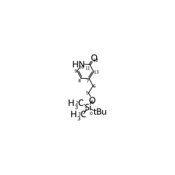 CC(C)(C)[Si](C)(C)OCCc1cc[nH]c(=O)c1